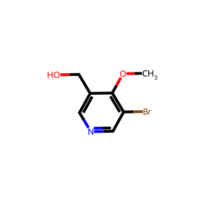 COc1c(Br)cncc1CO